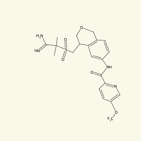 CC(C)(C(=N)N)S(=O)(=O)CC1COCc2ccc(NC(=O)c3ccc(OC(F)(F)F)cn3)cc21